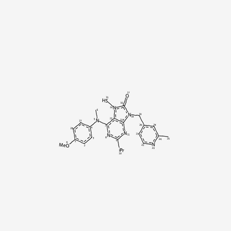 COc1ccc(N(C)c2nc(C(C)C)nc3c2n(S)c(=O)n3Cc2ccnc(C)c2)cc1